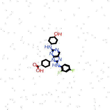 O=C(O)[C@H]1CC[C@@H](n2c(Nc3ccc(F)cc3F)nc3cnc(N[C@H]4CC[C@H](O)CC4)nc32)CC1